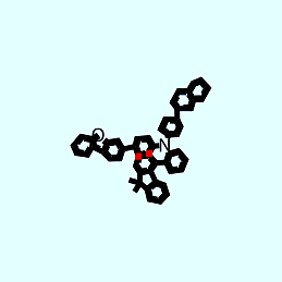 CC1(C)c2ccccc2-c2c(-c3ccccc3N(c3ccc(-c4ccc5ccccc5c4)cc3)c3ccc(-c4ccc5c(c4)oc4ccccc45)cc3)cccc21